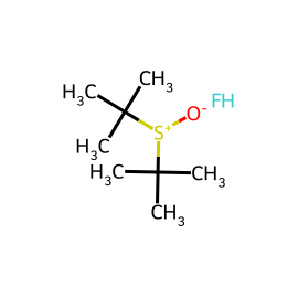 CC(C)(C)[S+]([O-])C(C)(C)C.F